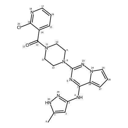 Cc1cc(Nc2nc(N3CCN(C(=O)c4cccnc4Cl)CC3)nn3cccc23)n[nH]1